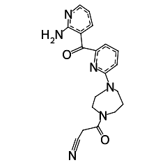 N#CCC(=O)N1CCCN(c2cccc(C(=O)c3cccnc3N)n2)CC1